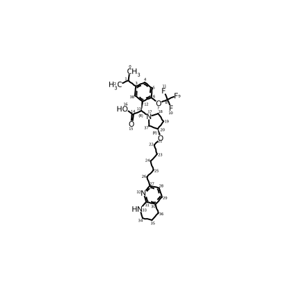 CC(C)c1ccc(OC(F)(F)F)c([C@H](C(=O)O)N2CC[C@@H](OCCCCCc3ccc4c(n3)NCCC4)C2)c1